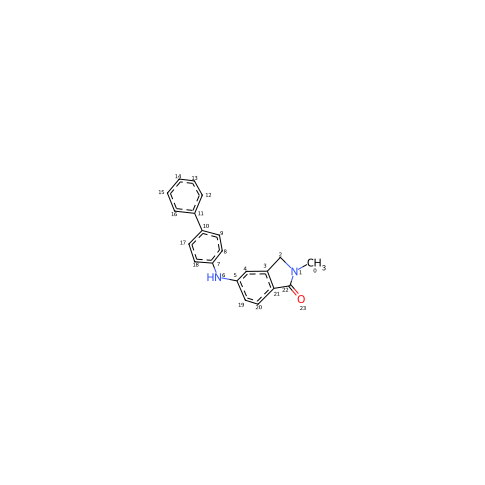 CN1Cc2cc(Nc3ccc(-c4ccccc4)cc3)ccc2C1=O